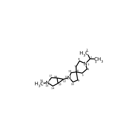 CC(C)N1CCC2(CC1)CCN(C1C3CN(C)CC31)C2